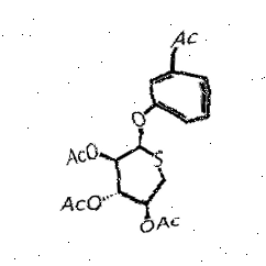 CC(=O)O[C@@H]1[C@@H](OC(C)=O)[C@@H](Oc2cccc(C(C)=O)c2)SC[C@H]1OC(C)=O